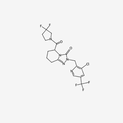 O=C(C1CCCc2nn(Cc3ncc(C(F)(F)F)cc3Cl)c(=O)n21)N1CCC(F)(F)C1